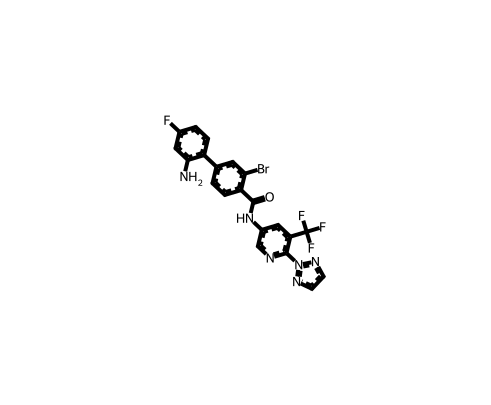 Nc1cc(F)ccc1-c1ccc(C(=O)Nc2cnc(-n3nccn3)c(C(F)(F)F)c2)c(Br)c1